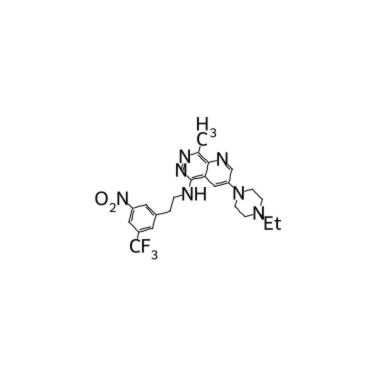 CCN1CCN(c2cnc3c(C)nnc(NCCc4cc([N+](=O)[O-])cc(C(F)(F)F)c4)c3c2)CC1